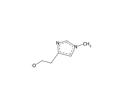 Cn1cnc(CC[O])c1